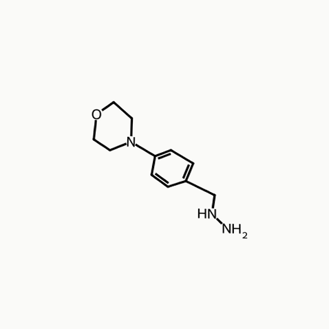 NNCc1ccc(N2CCOCC2)cc1